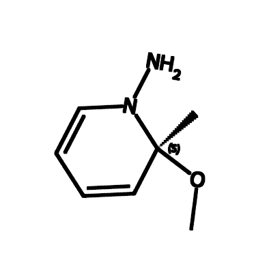 CO[C@@]1(C)C=CC=CN1N